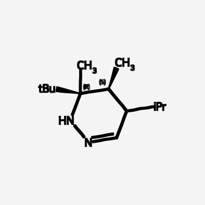 CC(C)C1C=NN[C@@](C)(C(C)(C)C)[C@H]1C